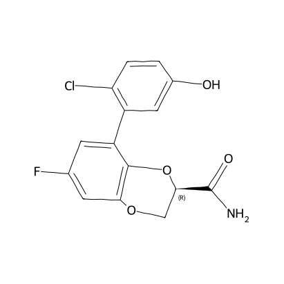 NC(=O)[C@H]1COc2cc(F)cc(-c3cc(O)ccc3Cl)c2O1